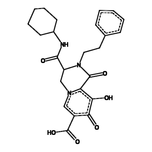 O=C(O)c1cn2c(c(O)c1=O)C(=O)N(CCc1ccccc1)C(C(=O)NC1CCCCC1)C2